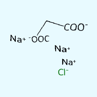 O=C([O-])CC(=O)[O-].[Cl-].[Na+].[Na+].[Na+]